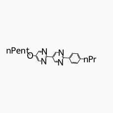 CCCCCOc1cnc(-c2cnc(-c3ccc(CCC)cc3)nc2)nc1